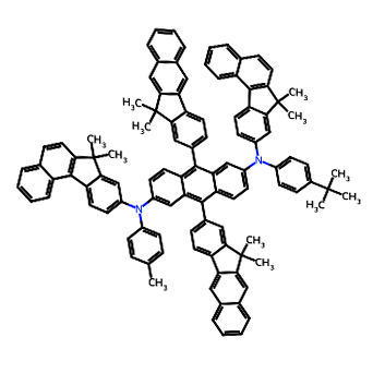 Cc1ccc(N(c2ccc3c(c2)C(C)(C)c2ccc4ccccc4c2-3)c2ccc3c(-c4ccc5c(c4)C(C)(C)c4cc6ccccc6cc4-5)c4cc(N(c5ccc(C(C)(C)C)cc5)c5ccc6c(c5)C(C)(C)c5ccc7ccccc7c5-6)ccc4c(-c4ccc5c(c4)C(C)(C)c4cc6ccccc6cc4-5)c3c2)cc1